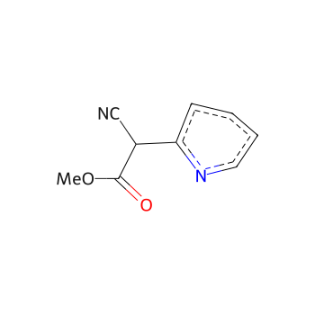 COC(=O)C(C#N)c1ccccn1